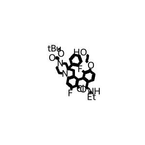 CCNC(=O)c1ccc(OCCO)c(F)c1-c1c(Cl)c(F)cc2c1CC1(c3ccccc3)CN(C(=O)OC(C)(C)C)CCN21